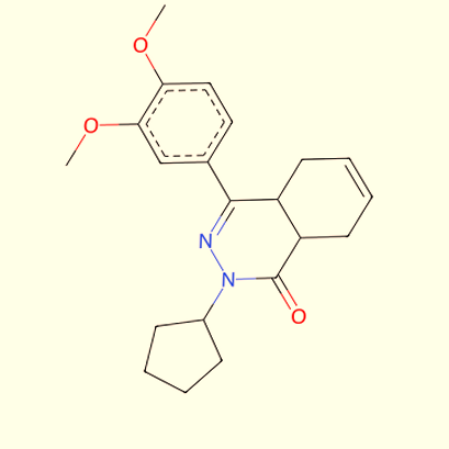 COc1ccc(C2=NN(C3CCCC3)C(=O)C3CC=CCC23)cc1OC